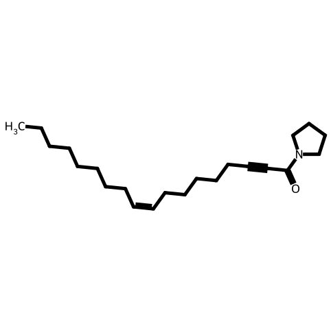 CCCCCCCC/C=C\CCCCCC#CC(=O)N1CCCC1